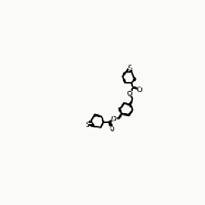 O=C(OCC1CCC(COC(=O)C2CCC3SC3C2)CC1)C1CCC2SC2C1